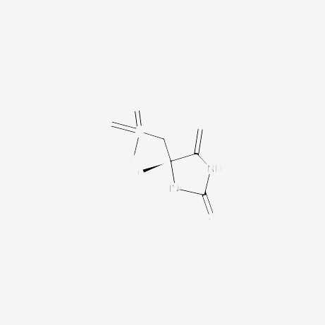 CC[C@]1(CS(=O)(=O)Cl)NC(=O)NC1=O